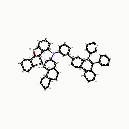 c1ccc(-c2c(-c3ccccc3)c3cc(-c4cccc(N(c5ccc6c(ccc7ccccc76)c5)c5cccc6oc7c8ccccc8ccc7c56)c4)ccc3c3ccccc23)cc1